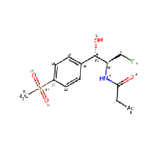 CC(=O)CC(=O)N[C@H](CF)[C@@H](O)c1ccc(S(C)(=O)=O)cc1